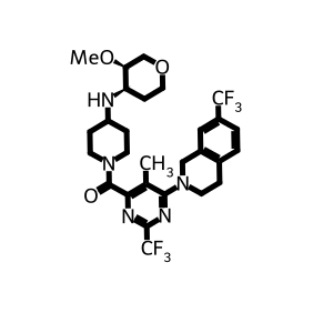 CO[C@H]1COCC[C@H]1NC1CCN(C(=O)c2nc(C(F)(F)F)nc(N3CCc4ccc(C(F)(F)F)cc4C3)c2C)CC1